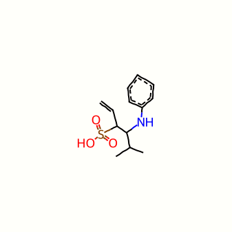 C=CC(C(Nc1ccccc1)C(C)C)S(=O)(=O)O